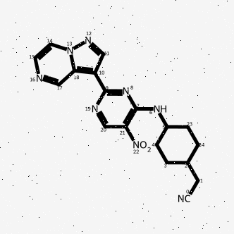 N#CCC1CCC(Nc2nc(-c3cnn4ccncc34)ncc2[N+](=O)[O-])CC1